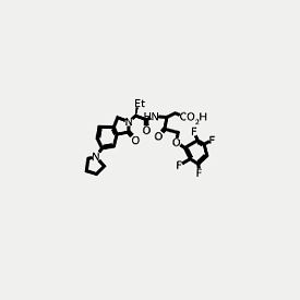 CC[C@@H](C(=O)NC(CC(=O)O)C(=O)COc1c(F)c(F)cc(F)c1F)N1Cc2ccc(N3CCCC3)cc2C1=O